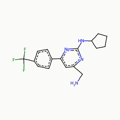 NCc1cc(-c2ccc(C(F)(F)F)cc2)nc(NC2CCCC2)n1